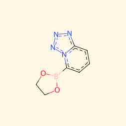 c1cc(B2OCCO2)n2nnnc2c1